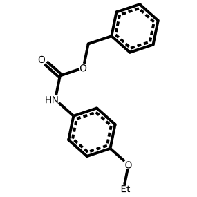 CCOc1ccc(NC(=O)OCc2ccccc2)cc1